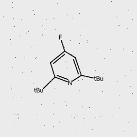 CC(C)(C)c1cc(F)cc(C(C)(C)C)n1